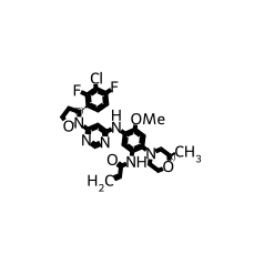 C=CC(=O)Nc1cc(Nc2cc(N3OCC[C@@H]3c3ccc(F)c(Cl)c3F)ncn2)c(OC)cc1N1CCO[C@H](C)C1